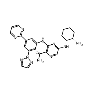 NC(=O)c1ncc(N[C@@H]2CCCC[C@@H]2N)nc1Nc1cc(-c2ncccn2)cc(-n2nccn2)c1